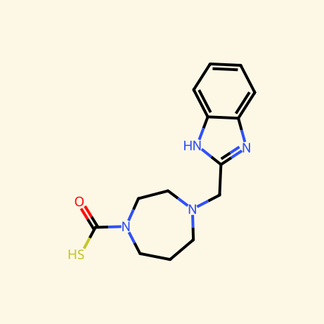 O=C(S)N1CCCN(Cc2nc3ccccc3[nH]2)CC1